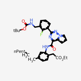 CCCCCC.CCOC(=O)Cc1ccc(C)cc1NC(=O)c1nc(-c2cccc(CNC(=O)OC(C)(C)C)c2F)nn2cccc12